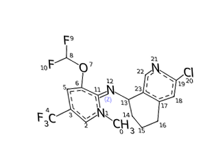 Cn1cc(C(F)(F)F)cc(OC(F)F)/c1=N/C1CCCc2cc(Cl)ncc21